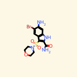 NC(=O)c1[nH]c2cc(N)c(Br)cc2c1S(=O)(=O)N1CCOCC1